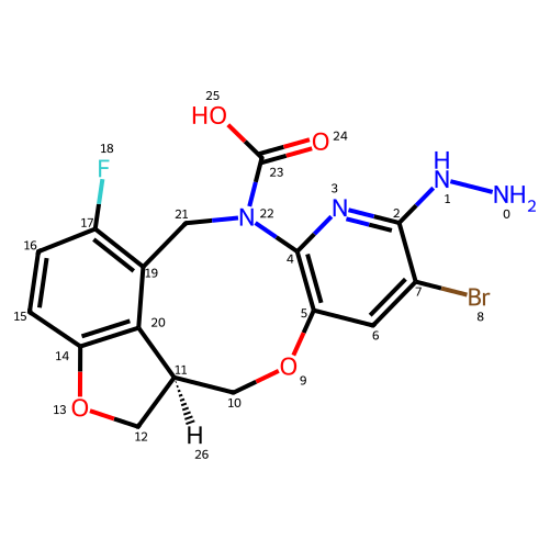 NNc1nc2c(cc1Br)OC[C@H]1COc3ccc(F)c(c31)CN2C(=O)O